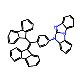 c1ccc2c(c1)C(=C(c1ccc(-n3c4ccccc4n4c5ccccc5nc34)cc1)C1c3ccccc3-c3ccccc31)c1ccccc1-2